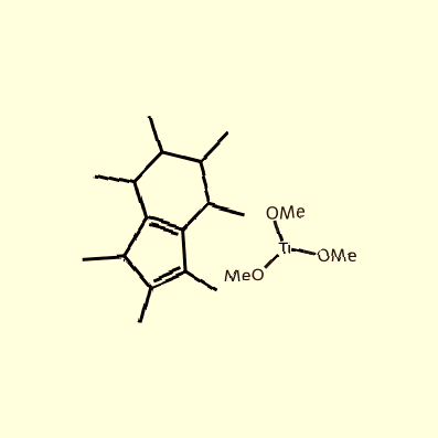 C[C]1C(C)=C(C)C2=C1C(C)C(C)C(C)C2C.C[O][Ti]([O]C)[O]C